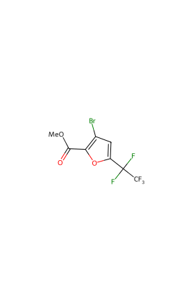 COC(=O)c1oc(C(F)(F)C(F)(F)F)cc1Br